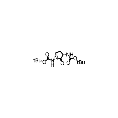 CC(C)(C)OC(=O)N[C@H]1CCN(NC(=O)OC(C)(C)C)C1=O